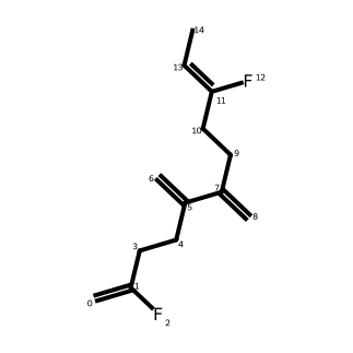 C=C(F)CCC(=C)C(=C)CC/C(F)=C/C